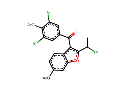 CC(=O)Oc1ccc2c(C(=O)c3cc(Br)c(OC(C)=O)c(Br)c3)c(C(C)Br)oc2c1